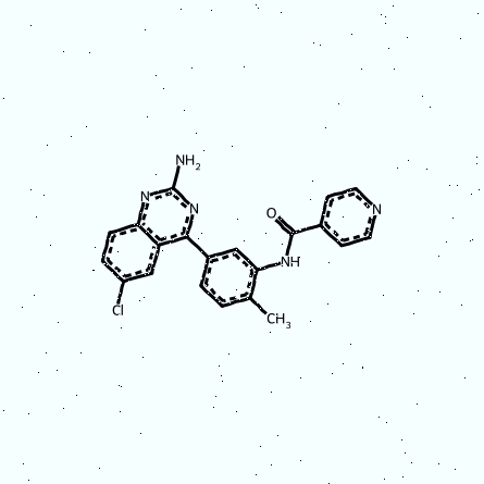 Cc1ccc(-c2nc(N)nc3ccc(Cl)cc23)cc1NC(=O)c1ccncc1